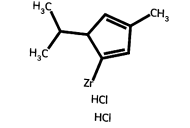 CC1=CC(C(C)C)[C]([Zr])=C1.Cl.Cl